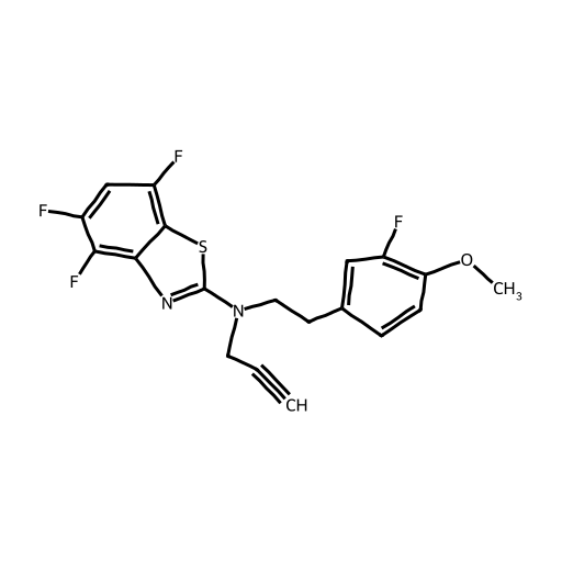 C#CCN(CCc1ccc(OC)c(F)c1)c1nc2c(F)c(F)cc(F)c2s1